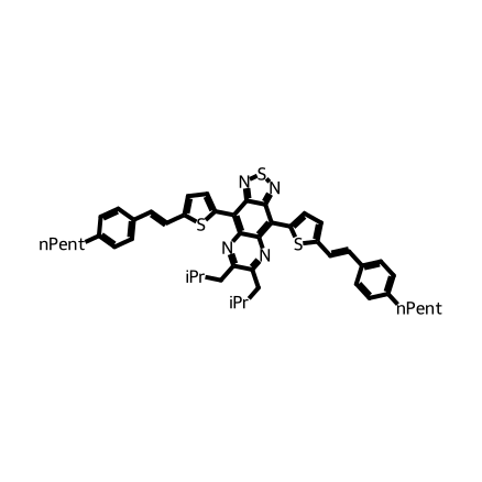 CCCCCc1ccc(/C=C/c2ccc(-c3c4nsnc4c(-c4ccc(/C=C/c5ccc(CCCCC)cc5)s4)c4nc(CC(C)C)c(CC(C)C)nc34)s2)cc1